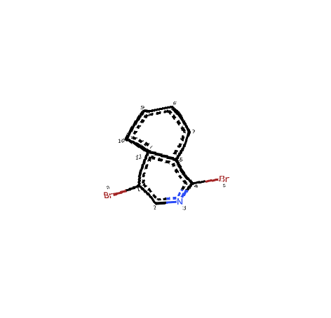 Brc1cnc(Br)c2ccccc12